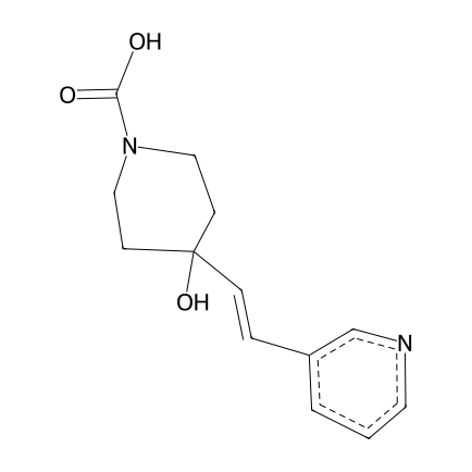 O=C(O)N1CCC(O)(C=Cc2cccnc2)CC1